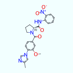 COc1cc(C(=O)N2CCC[C@H]2C(=O)Nc2ccccc2[N+](=O)[O-])ccc1-n1cnc(C)c1